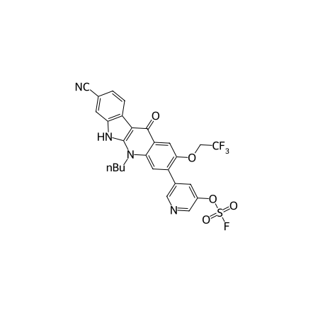 CCCCn1c2cc(-c3cncc(OS(=O)(=O)F)c3)c(OCC(F)(F)F)cc2c(=O)c2c3ccc(C#N)cc3[nH]c21